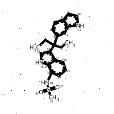 CCC(CC)(c1ccc2cc[nH]c2c1)c1c[nH]c2c(NS(C)(=O)=O)cccc12